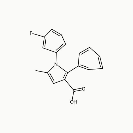 Cc1cc(C(=O)O)c(-c2ccccc2)n1-c1cccc(F)c1